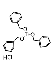 Cl.c1ccc(C[O][Ti]([O]Cc2ccccc2)[O]Cc2ccccc2)cc1